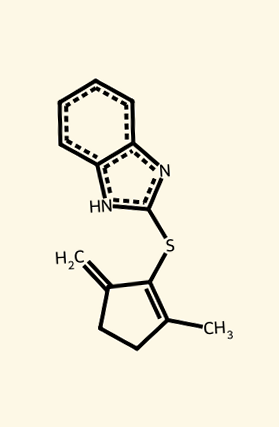 C=C1CCC(C)=C1Sc1nc2ccccc2[nH]1